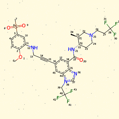 COc1ccc(S(C)(=O)=O)cc1NCC#Cc1cc(C(=O)N[C@H]2CCN(CCC(F)(F)F)C[C@@H]2C)c2ncn(CC(F)(F)F)c2c1